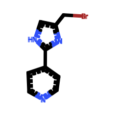 BrCc1c[nH]c(-c2ccncc2)n1